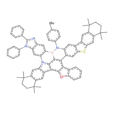 CC(C)(C)c1ccc(N2B3c4cc5nc(-c6ccccc6)n(-c6ccccc6)c5cc4-n4c5cc6c(cc5c5c7oc8ccccc8c7c(c3c54)-c3cc4sc5cc7c(cc5c4cc32)C(C)(C)CCC7(C)C)C(C)(C)CCC6(C)C)cc1